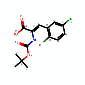 CC(C)(C)OC(=O)N/C(=C\c1cc(Br)ccc1F)C(=O)O